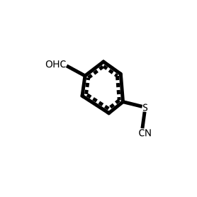 N#CSc1ccc(C=O)cc1